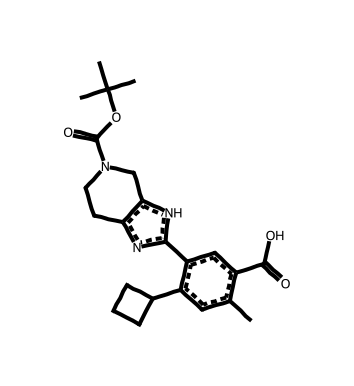 Cc1cc(C2CCC2)c(-c2nc3c([nH]2)CN(C(=O)OC(C)(C)C)CC3)cc1C(=O)O